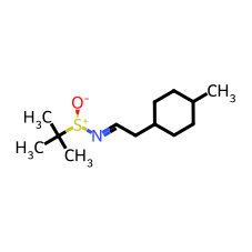 CC1CCC(C/C=N/[S@+]([O-])C(C)(C)C)CC1